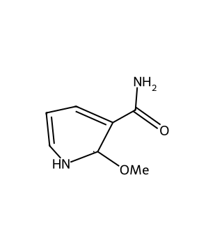 CO[C]1NC=CC=C1C(N)=O